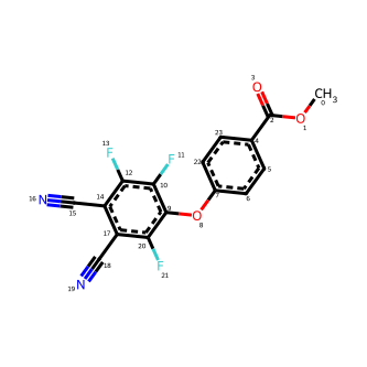 COC(=O)c1ccc(Oc2c(F)c(F)c(C#N)c(C#N)c2F)cc1